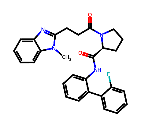 Cn1c(CCC(=O)N2CCC[C@H]2C(=O)Nc2ccccc2-c2ccccc2F)nc2ccccc21